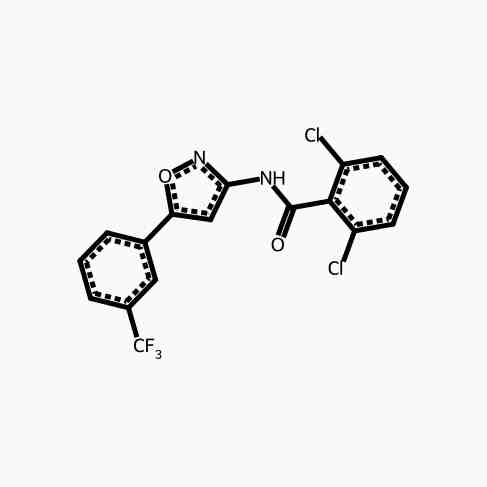 O=C(Nc1cc(-c2cccc(C(F)(F)F)c2)on1)c1c(Cl)cccc1Cl